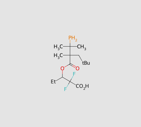 CCC(OC(=O)C(C)(CC(C)(C)C)C(C)(C)P)C(F)(F)C(=O)O